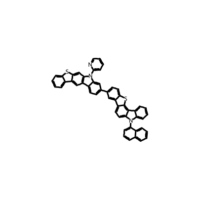 c1ccc(-n2c3cc(-c4ccc5sc6c(ccc7c6c6ccccc6n7-c6cccc7ccccc67)c5c4)ccc3c3cc4c(cc32)sc2ccccc24)nc1